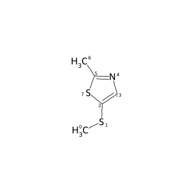 CSc1[c]nc(C)s1